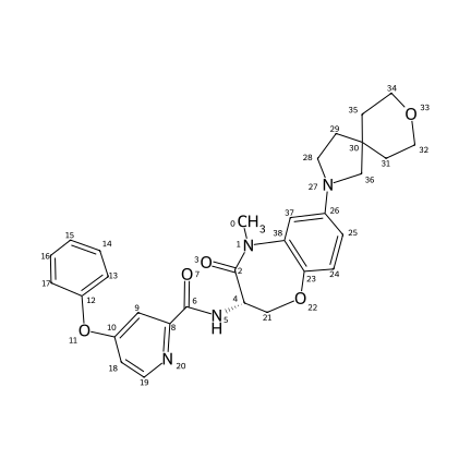 CN1C(=O)[C@@H](NC(=O)c2cc(Oc3ccccc3)ccn2)COc2ccc(N3CCC4(CCOCC4)C3)cc21